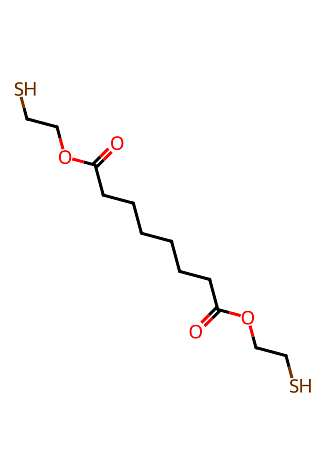 O=C(CCCCCCC(=O)OCCS)OCCS